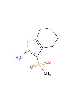 CS(=O)(=O)c1c(N)sc2c1CCCC2